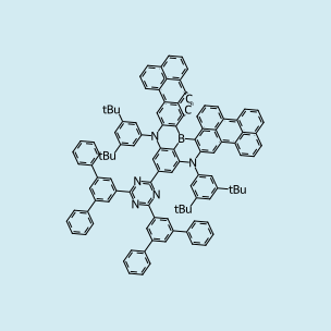 CC(C)(C)c1cc(N2c3cc(-c4nc(-c5cc(-c6ccccc6)cc(-c6ccccc6)c5)nc(-c5cc(-c6ccccc6)cc(-c6ccccc6)c5)n4)cc4c3B(c3c2cc2c5cccc6cccc(c7cccc3c72)c65)c2c(cc3c5cccc6cccc(c7cccc2c73)c65)N4c2cc(C(C)(C)C)cc(C(C)(C)C)c2)cc(C(C)(C)C)c1